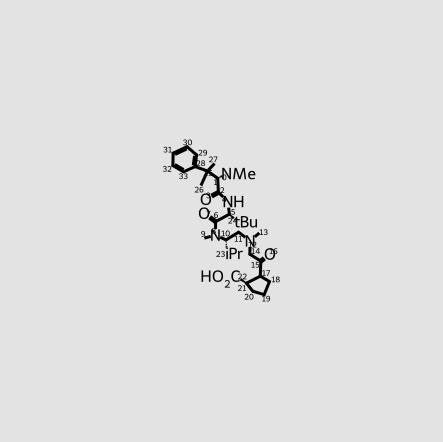 CN[C@H](C(=O)N[C@H](C(=O)N(C)[C@H](CN(C)CC(=O)C1CCC[C@H]1C(=O)O)C(C)C)C(C)(C)C)C(C)(C)c1ccccc1